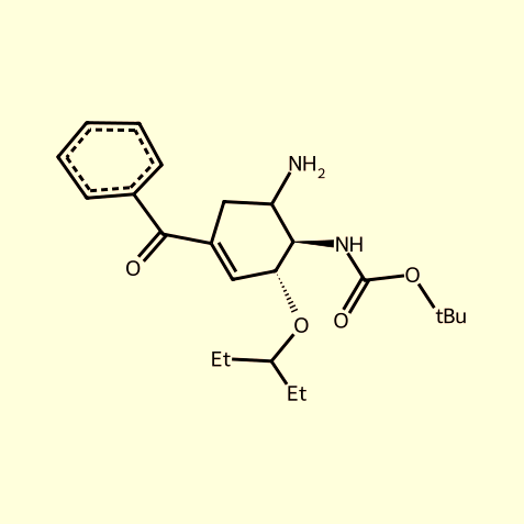 CCC(CC)O[C@@H]1C=C(C(=O)c2ccccc2)CC(N)[C@H]1NC(=O)OC(C)(C)C